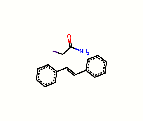 C(=C\c1ccccc1)/c1ccccc1.NC(=O)CI